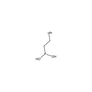 CCCCCP(O)O